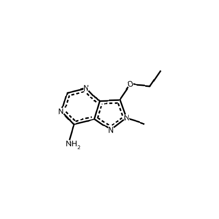 CCOc1c2ncnc(N)c2nn1C